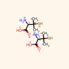 CC(C)(S)[C@H](N)C(=O)O.CC(C)(S)[C@H](N)C(=O)O